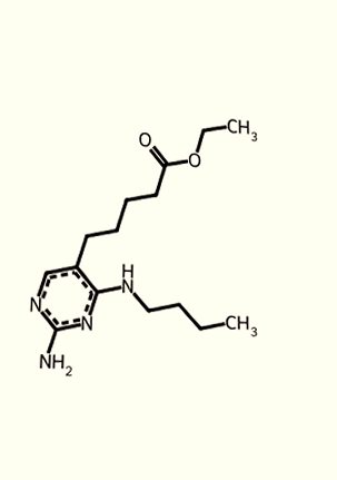 CCCCNc1nc(N)ncc1CCCCC(=O)OCC